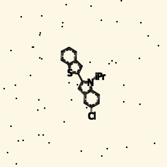 CC(C)n1c(-c2cc3ccccc3s2)cc2cc(Cl)ccc21